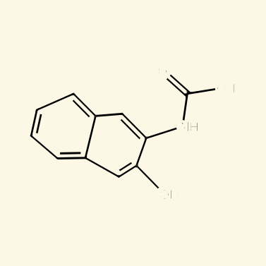 O=[C](O)[AlH][c]1cc2ccccc2cc1O